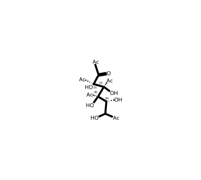 CC(=O)C(=O)[C@@](O)(C(C)=O)[C@](O)(C(C)=O)[C@@](O)(C(C)=O)[C@H](O)C(O)C(C)=O